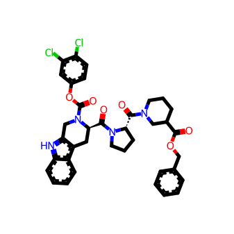 O=C(OCc1ccccc1)C1CCCN(C(=O)[C@@H]2CCCN2C(=O)[C@H]2Cc3c([nH]c4ccccc34)CN2C(=O)Oc2ccc(Cl)c(Cl)c2)C1